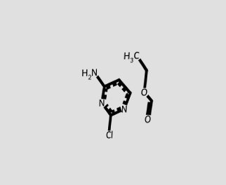 CCOC=O.Nc1ccnc(Cl)n1